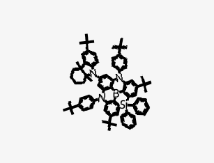 CC(C)(C)c1ccc(N2c3cc(N4c5ccc(C(C)(C)C)cc5C5(C)CCCCC45C)cc4c3B3c5c2cc(C(C)(C)C)cc5[Si](c2ccccc2)(c2ccccc2)c2cc(C(C)(C)C)cc(c23)N4c2ccc(C(C)(C)C)cc2)cc1